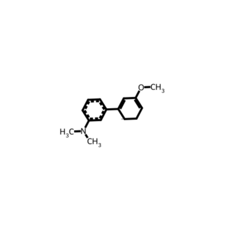 COC1=CC[CH]C(c2cccc(N(C)C)c2)=C1